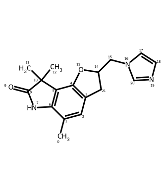 Cc1cc2c(c3c1NC(=O)C3(C)C)OC(Cn1ccnc1)C2